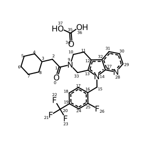 O=C(CC1CCCCC1)N1CCc2c(n(Cc3ccc(C(F)(F)F)cc3F)c3ncccc23)C1.O=C(O)O